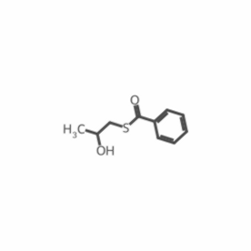 CC(O)CSC(=O)c1ccccc1